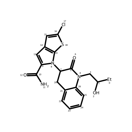 CCC(O)CN1C(=O)C(n2c(C(N)=O)cc3cc(Cl)sc32)Cc2ccccc21